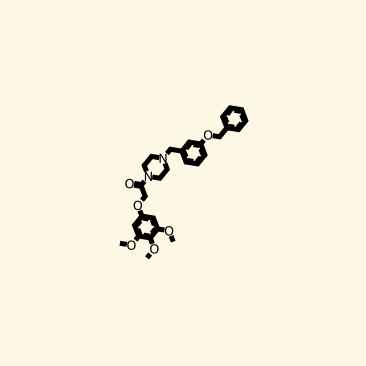 COc1cc(OCC(=O)N2CCN(Cc3cccc(OCc4ccccc4)c3)CC2)cc(OC)c1OC